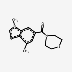 Cc1cc(C(=O)N2CCOCC2)cc2c1ncn2C